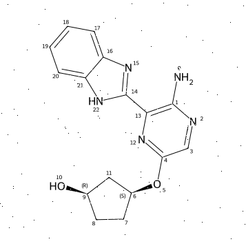 Nc1ncc(O[C@H]2CC[C@@H](O)C2)nc1-c1nc2ccccc2[nH]1